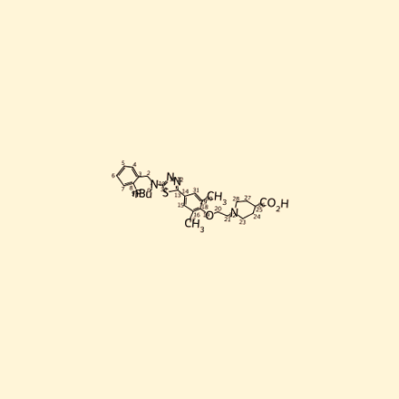 CCCCN(Cc1ccccc1F)c1nnc(-c2cc(C)c(OCCN3CCC(C(=O)O)CC3)c(C)c2)s1